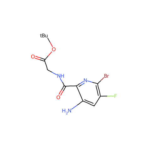 CC(C)(C)OC(=O)CNC(=O)c1nc(Br)c(F)cc1N